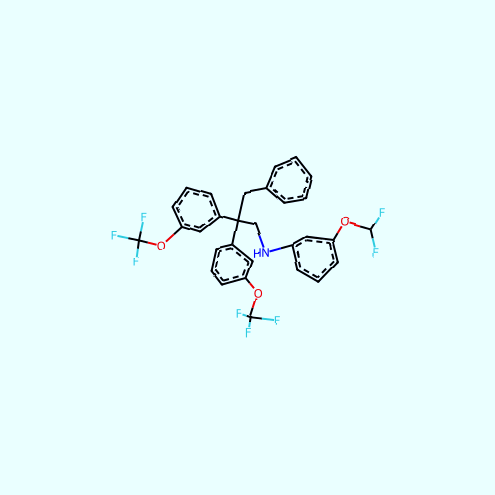 FC(F)Oc1cccc(NCC(Cc2ccccc2)(c2cccc(OC(F)(F)F)c2)c2cccc(OC(F)(F)F)c2)c1